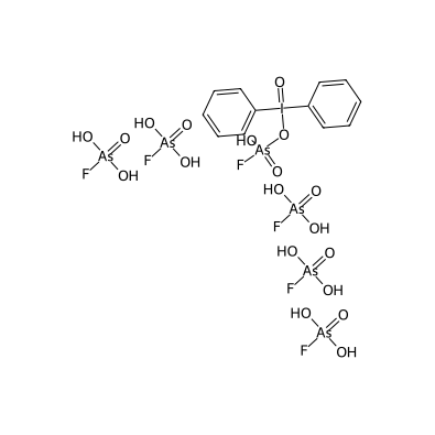 O=[As](O)(F)OI(=O)(c1ccccc1)c1ccccc1.O=[As](O)(O)F.O=[As](O)(O)F.O=[As](O)(O)F.O=[As](O)(O)F.O=[As](O)(O)F